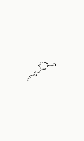 S=CNCCc1cccc(Cl)c1